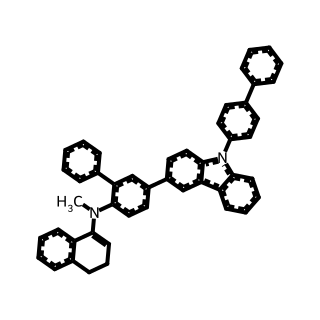 CN(C1=CCCc2ccccc21)c1ccc(-c2ccc3c(c2)c2ccccc2n3-c2ccc(-c3ccccc3)cc2)cc1-c1ccccc1